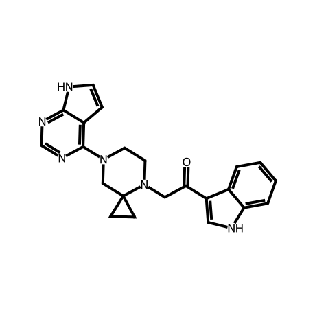 O=C(CN1CCN(c2ncnc3[nH]ccc23)CC12CC2)c1c[nH]c2ccccc12